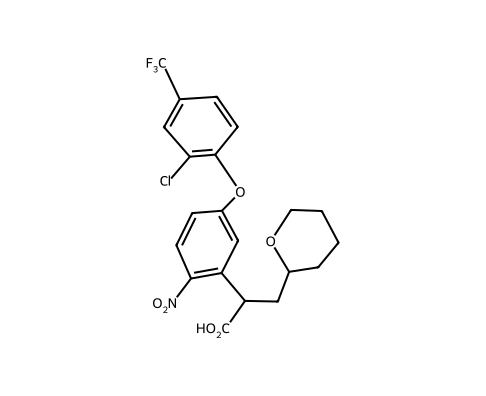 O=C(O)C(CC1CCCCO1)c1cc(Oc2ccc(C(F)(F)F)cc2Cl)ccc1[N+](=O)[O-]